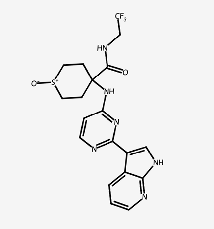 O=C(NCC(F)(F)F)C1(Nc2ccnc(-c3c[nH]c4ncccc34)n2)CC[S+]([O-])CC1